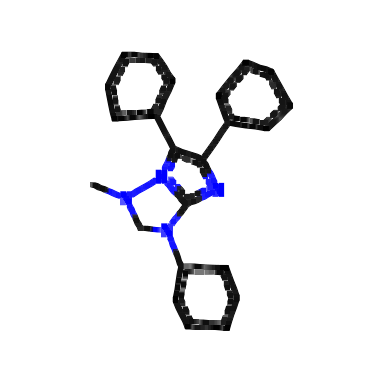 CN1CN(c2ccccc2)c2nc(-c3ccccc3)c(-c3ccccc3)n21